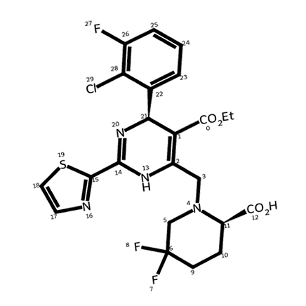 CCOC(=O)C1=C(CN2CC(F)(F)CC[C@@H]2C(=O)O)NC(c2nccs2)=N[C@H]1c1cccc(F)c1Cl